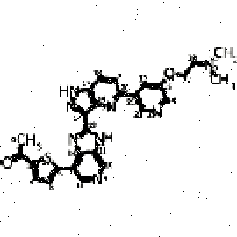 CC(=O)c1ccc(-c2cncc3[nH]c(-c4n[nH]c5ccc(-c6cncc(OCCN(C)C)c6)nc45)nc23)s1